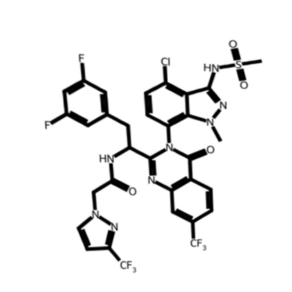 Cn1nc(NS(C)(=O)=O)c2c(Cl)ccc(-n3c(C(Cc4cc(F)cc(F)c4)NC(=O)Cn4ccc(C(F)(F)F)n4)nc4cc(C(F)(F)F)ccc4c3=O)c21